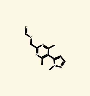 Cc1nc(COC=O)nc(C)c1-c1ccnn1C